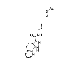 CC(=O)SCCCCCCNC(=O)c1n[nH]c2c1CCc1cccnc1-2